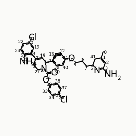 CC1=CC(N)=NC(CCCOc2c#cc(C3C=C(c4cc(Cl)ccc4N)CCN3C(=O)Oc3ccc(Cl)cc3)cc2)C1